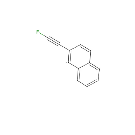 FC#Cc1[c]c2ccccc2cc1